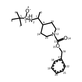 CC(N[S+]([O-])C(C)(C)C)C1CCN(C(=O)OCc2ccccc2)CC1